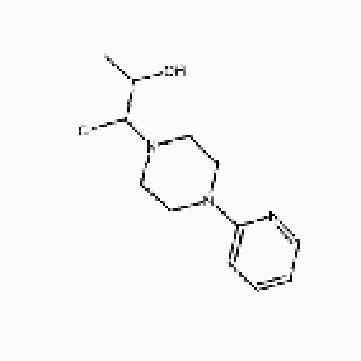 CC(O)C(Cl)N1CCN(c2ccccn2)CC1